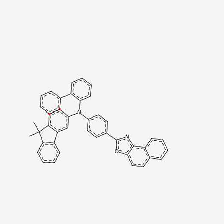 CC1(C)c2ccccc2-c2cc(N(c3ccc(-c4nc5c(ccc6ccccc65)o4)cc3)c3ccccc3-c3ccccc3)ccc21